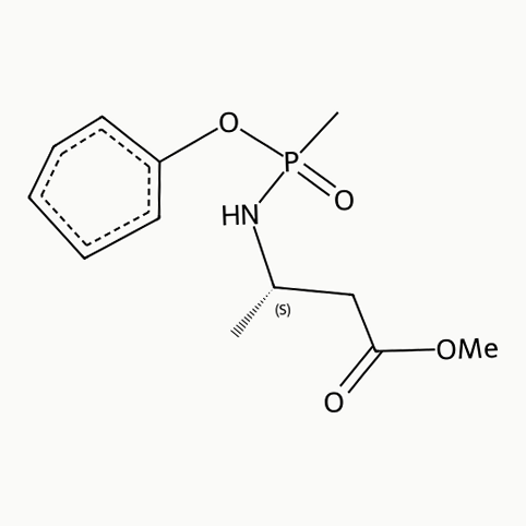 COC(=O)C[C@H](C)NP(C)(=O)Oc1ccccc1